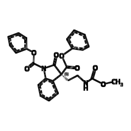 COC(=O)NCC[C@@]1(C(=O)Oc2ccccc2)C(=O)N(C(=O)Oc2ccccc2)c2ccccc21